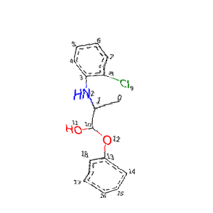 CC(Nc1ccccc1Cl)C(O)Oc1ccccc1